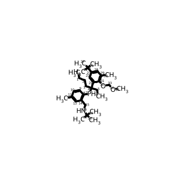 CCCCC(CC)(Pc1ccc(C)cc1CNC(C)(C)C)c1cc(C(C)(C)C)cc(C)c1OCOC